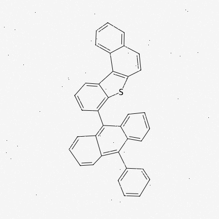 c1ccc(-c2c3ccccc3c(-c3cccc4c3sc3ccc5ccccc5c34)c3ccccc23)cc1